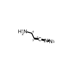 [N-]=[N+]=C=CCN